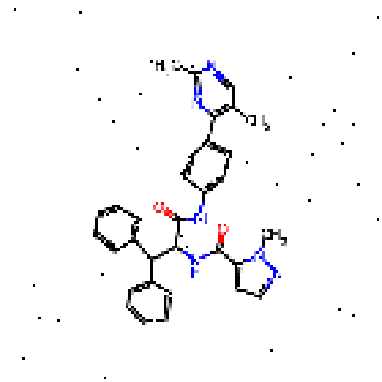 Cc1ncc(C)c(-c2ccc(NC(=O)C(NC(=O)c3ccnn3C)C(c3ccccc3)c3ccccc3)cc2)n1